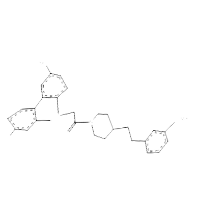 COc1cccc(CCC2CCN(C(=O)COc3ccc(C#N)cc3-c3ccc(F)cc3O)CC2)c1